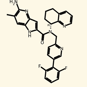 Cc1cc2[nH]c(C(=O)N(Cc3ccc(-c4c(F)cccc4F)cn3)[C@@H]3CCCc4cccnc43)cc2nc1N